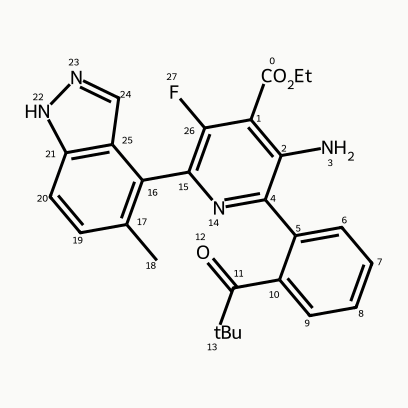 CCOC(=O)c1c(N)c(-c2ccccc2C(=O)C(C)(C)C)nc(-c2c(C)ccc3[nH]ncc23)c1F